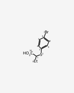 CCC(Sc1ccc(Br)cc1)C(=O)O